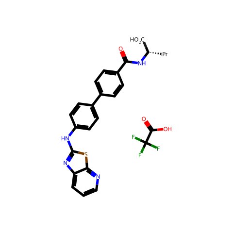 CC(C)[C@H](NC(=O)c1ccc(-c2ccc(Nc3nc4cccnc4s3)cc2)cc1)C(=O)O.O=C(O)C(F)(F)F